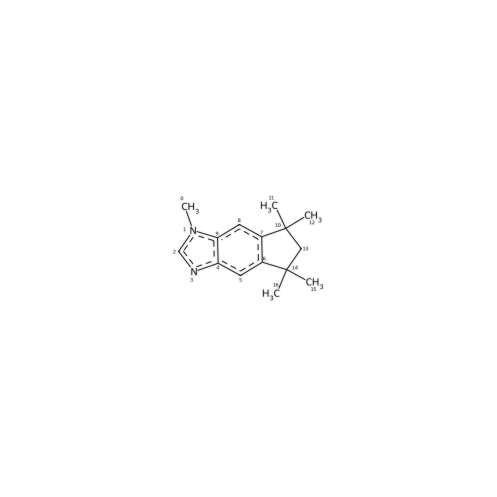 Cn1cnc2cc3c(cc21)C(C)(C)CC3(C)C